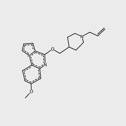 C=CCN1CCC(COc2nc3cc(OC)ccc3n3cccc23)CC1